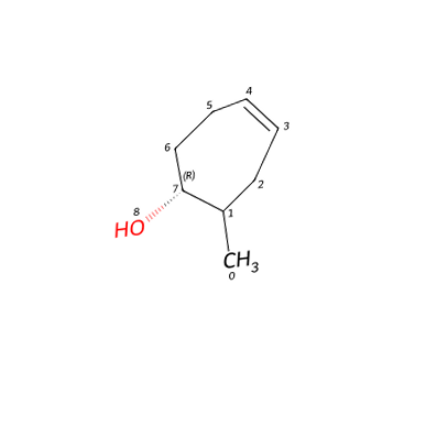 CC1CC=CCC[C@H]1O